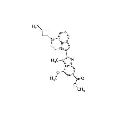 COC(=O)c1cc(OC)c2c(c1)nc(-c1cc3cccc4c3n1CCN4C1CC(N)C1)n2C